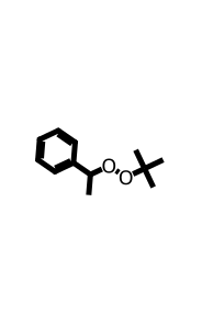 CC(OOC(C)(C)C)c1ccccc1